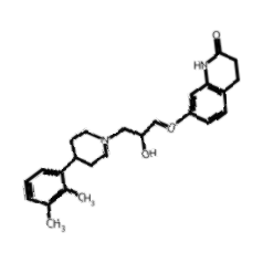 Cc1cccc(C2CCN(CC(O)COc3ccc4c(c3)NC(=O)CC4)CC2)c1C